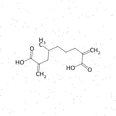 C=C(CCCC(C)CC(=C)C(=O)O)C(=O)O